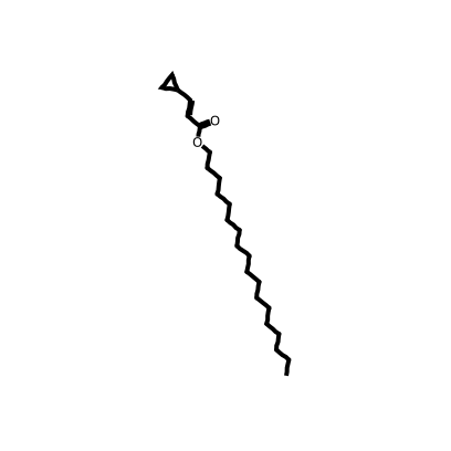 CCCCCCCCCCCCCCCCCCOC(=O)C=CC1CC1